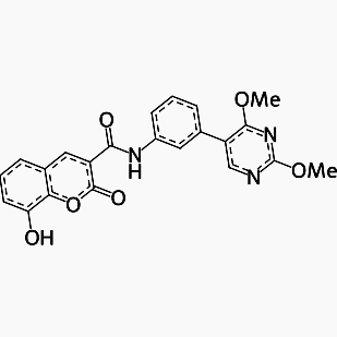 COc1ncc(-c2cccc(NC(=O)c3cc4cccc(O)c4oc3=O)c2)c(OC)n1